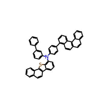 c1ccc(-c2cccc(N(c3ccc(-c4cccc5c4ccc4ccc6ccccc6c45)cc3)c3cccc4c3sc3c5ccccc5ccc43)c2)cc1